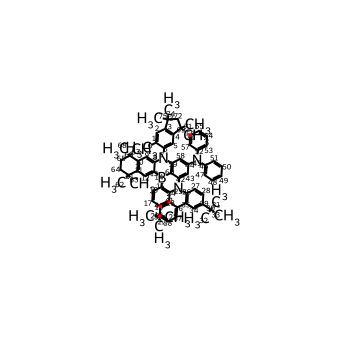 Cc1cc2c(cc1N1c3cc4c(cc3B3c5ccc(C(C)(C)C)cc5N(c5ccc(C(C)(C)C)cc5-c5ccccc5)c5cc(N(c6ccccc6)c6ccccc6)cc1c53)C(C)(C)CCC4(C)C)C(C)(C)CC2(C)C